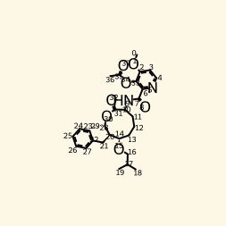 COc1ccnc(C(=O)N[C@H]2CCC[C@H](OCC(C)C)[C@@H](Cc3ccccc3)[C@H](C)OC2=O)c1OC(C)=O